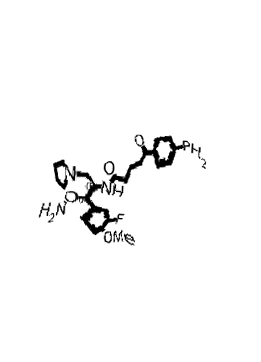 COc1ccc([C@@H](ON)[C@@H](CN2CCCC2)NC(=O)CCCC(=O)c2ccc(P)cc2)cc1F